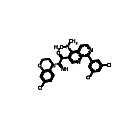 CN(C)c1c(C(=O)C(=N)[C@H]2CCOc3cc(Cl)ccc32)cnc2c(-c3cc(Cl)cc(Cl)c3)nccc12